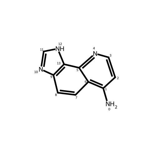 Nc1ccnc2c1ccc1nc[nH]c12